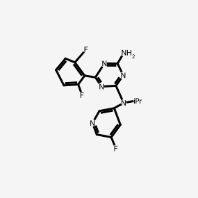 CC(C)N(c1cncc(F)c1)c1nc(N)nc(-c2c(F)cccc2F)n1